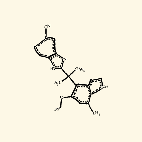 COC(C)(c1nc2cc(C#N)ccc2[nH]1)c1c(OC(C)C)cc(C)c2[nH]ccc12